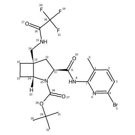 Cc1ccc(Br)nc1NC(=O)[C@@H]1C[C@@]2(CNC(=O)C(F)(F)F)CC[C@H]2N1C(=O)OC(C)(C)C